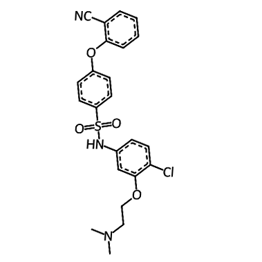 CN(C)CCOc1cc(NS(=O)(=O)c2ccc(Oc3ccccc3C#N)cc2)ccc1Cl